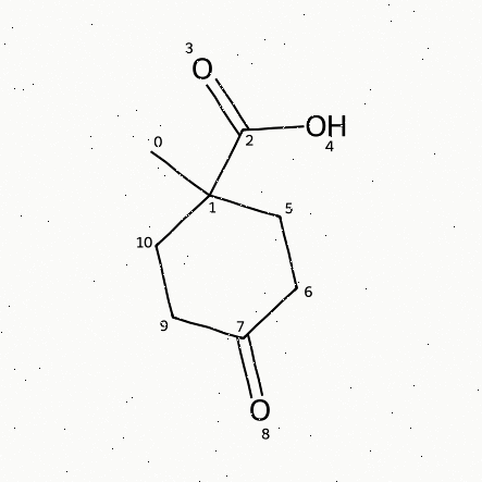 CC1(C(=O)O)CCC(=O)CC1